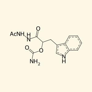 CC(=O)NNC(=O)C(Cc1c[nH]c2ccccc12)OC(N)=O